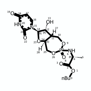 CCCCOC(=O)[C@@H](C)NP1(=O)OC[C@H]2[C@@H](O)[C@H](n3ccc(=O)[nH]c3=O)O[C@@H]2CO1